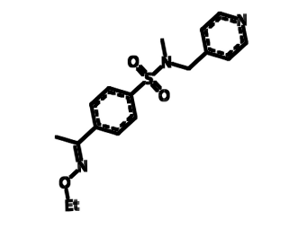 CCON=C(C)c1ccc(S(=O)(=O)N(C)Cc2ccncc2)cc1